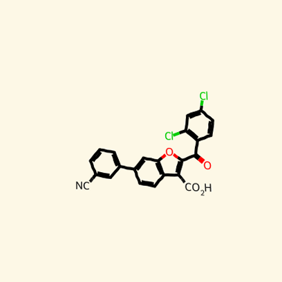 N#Cc1cccc(-c2ccc3c(C(=O)O)c(C(=O)c4ccc(Cl)cc4Cl)oc3c2)c1